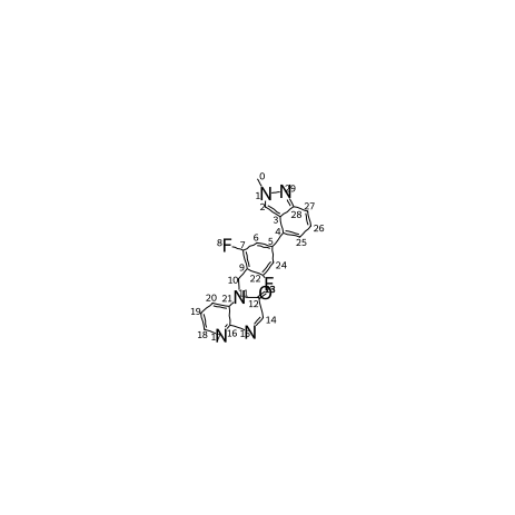 Cn1cc2c(-c3cc(F)c(Cn4c(=O)cnc5ncccc54)c(F)c3)cccc2n1